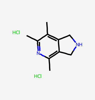 Cc1nc(C)c2c(c1C)CNC2.Cl.Cl